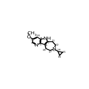 COc1cnc2c3c([nH]c2c1)CCN(C1CC1)CC3